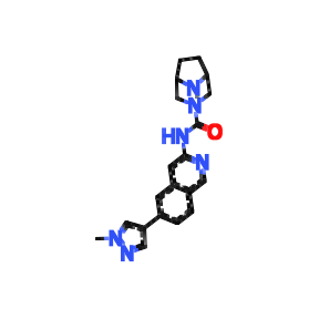 CN1C2CCC1CN(C(=O)Nc1cc3cc(-c4cnn(C)c4)ccc3cn1)C2